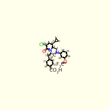 CN(Cc1c(C2CC2)cc(Cl)c(=O)n1CCc1ccc(C(=O)O)cc1)c1cccc(OC(F)(F)F)c1